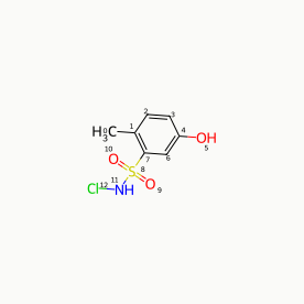 Cc1ccc(O)cc1S(=O)(=O)NCl